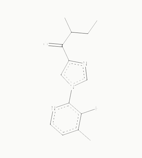 CCC(C)C(=O)c1cn(-c2nccc(C)c2F)cn1